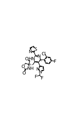 O=C[C@]1(CC2=C(c3ccn(C(F)F)n3)[C@H](c3ccc(F)cc3Cl)N=C(c3nccs3)N2)COC(=O)N1